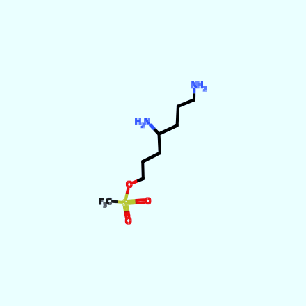 NCCCC(N)CCCOS(=O)(=O)C(F)(F)F